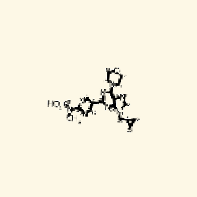 CN(C(=O)O)c1ncc(-c2nc(N3CCOCC3)c3ncn(CC4CC4)c3n2)cn1